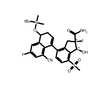 CC(C)(C)[Si](C)(C)OC1CC=C(c2ccc(S(C)(=O)=O)c3c2C[C@](F)(C(N)=O)[C@H]3O)c2c(C#N)cc(F)cc21